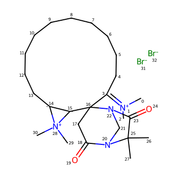 C[N+](C)=C1CCCCCCCCCC[C]2[C](C13CC(=O)N1CN3C(=O)C1(C)C)[N+]2(C)C.[Br-].[Br-]